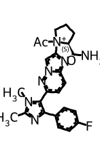 CC(=O)[N+]1(c2cn3nc(-c4c(-c5ccc(F)cc5)nc(C)n4C)ccc3n2)CCC[C@H]1C(N)=O